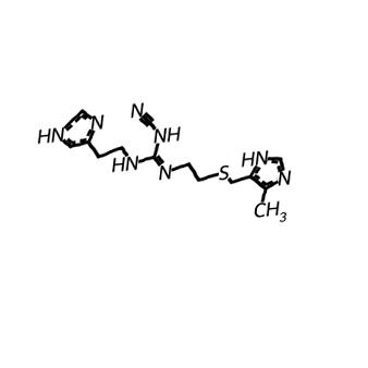 Cc1nc[nH]c1CSCC/N=C(\NC#N)NCCc1c[nH]cn1